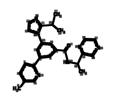 Cc1ccc(-c2cc(C(=O)NC(C)c3cnccn3)cc(-n3ccnc3C(C)C)c2)nc1